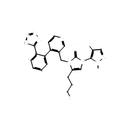 CCCCc1cn(-c2c(C)cnn2C)c(=O)n1Cc1cnccc1-c1ccccc1-c1nnn[nH]1